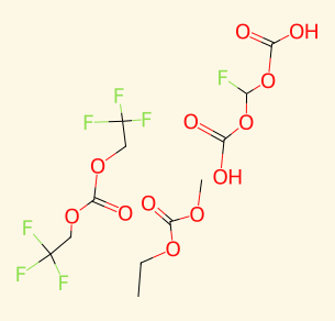 CCOC(=O)OC.O=C(O)OC(F)OC(=O)O.O=C(OCC(F)(F)F)OCC(F)(F)F